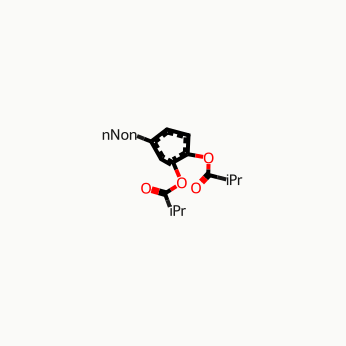 CCCCCCCCCc1ccc(OC(=O)C(C)C)c(OC(=O)C(C)C)c1